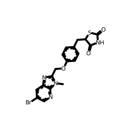 Cn1c(COc2ccc(CC3SC(=O)NC3=O)cc2)nc2cc(Br)cnc21